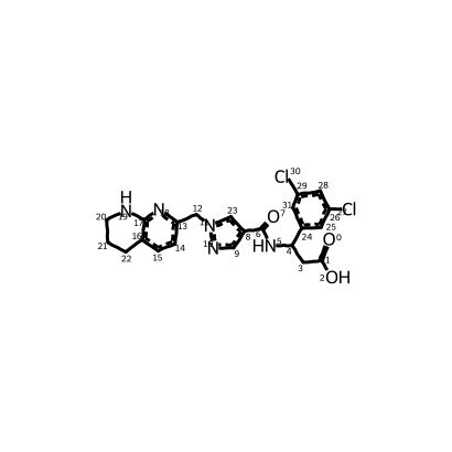 O=C(O)CC(NC(=O)c1cnn(Cc2ccc3c(n2)NCCC3)c1)c1cc(Cl)cc(Cl)c1